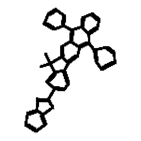 CC1(C)c2cc(-c3nc4ccccc4s3)ccc2-c2cc3c(-c4ccccc4)c4ccccc4c(-c4ccccc4)c3cc21